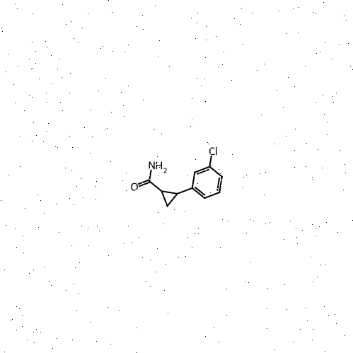 NC(=O)C1CC1c1cccc(Cl)c1